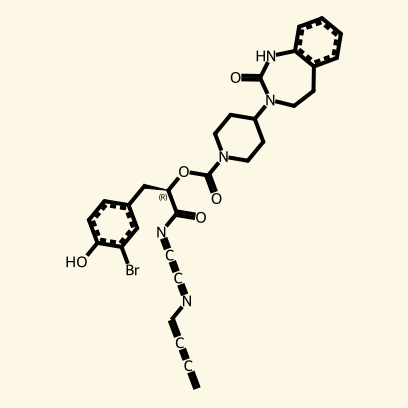 C=C=C=CN=C=C=NC(=O)[C@@H](Cc1ccc(O)c(Br)c1)OC(=O)N1CCC(N2CCc3ccccc3NC2=O)CC1